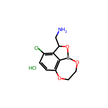 Cl.NCC1OB2OCCOc3ccc(Cl)c1c32